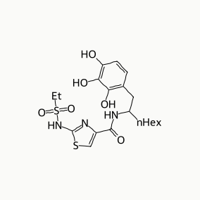 CCCCCCC(Cc1ccc(O)c(O)c1O)NC(=O)c1csc(NS(=O)(=O)CC)n1